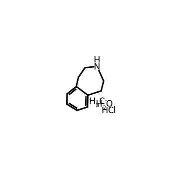 Cl.O.[CH3].c1ccc2c(c1)CCNCC2